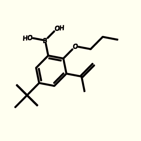 C=C(C)c1cc(C(C)(C)C)cc(B(O)O)c1OCCC